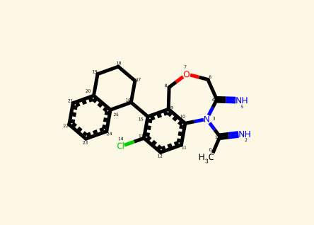 CC(=N)N1C(=N)COCc2c1ccc(Cl)c2C1CCCc2ccccc21